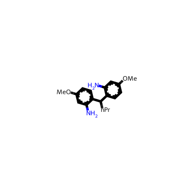 CCCC(c1ccc(OC)cc1N)c1ccc(OC)cc1N